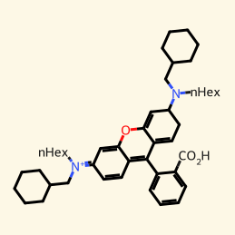 CCCCCCN(CC1CCCCC1)C1C=c2oc3c/c(=[N+](\CCCCCC)CC4CCCCC4)ccc-3c(-c3ccccc3C(=O)O)c2=CC1